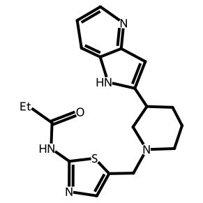 CCC(=O)Nc1ncc(CN2CCCC(c3cc4ncccc4[nH]3)C2)s1